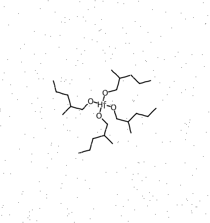 CCCC(C)C[O][Hf]([O]CC(C)CCC)([O]CC(C)CCC)[O]CC(C)CCC